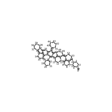 Fc1ccc2c(c1)-c1ccc3c4ccc5c6c(-c7ccccc7)c7c(cc8c9ccccc9c9cccc7c98)c(-c7ccccc7)c6c6ccc(c7ccc-2c1c73)c4c65